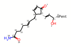 CCCCC[C@H](O)/C=C/[C@H]1C(=O)C=C[C@@H]1CC=CCCCC(N)=O